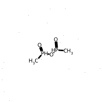 C[PH](=O)O[PH](C)=O